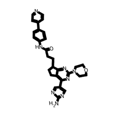 Nc1ncc(-c2nc(N3CCOCC3)nc3c2CCC3CCC(=O)Nc2ccc(-c3ccncc3)cc2)cn1